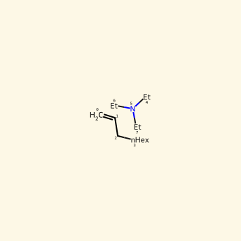 C=CCCCCCCC.CCN(CC)CC